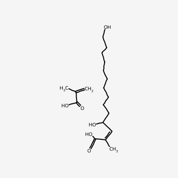 C=C(C)C(=O)O.CC(=CC(O)CCCCCCCCCCO)C(=O)O